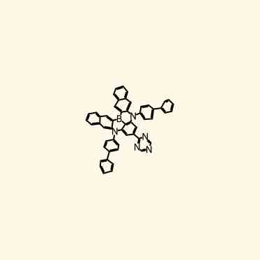 c1ccc(-c2ccc(N3c4cc5ccccc5cc4B4c5cc6ccccc6cc5N(c5ccc(-c6ccccc6)cc5)c5cc(-c6ncncn6)cc3c54)cc2)cc1